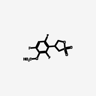 O=C(O)Oc1c(F)cc(F)c(C2COS(=O)(=O)C2)c1F